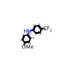 COc1ccc(Nc2ccc(C(F)(F)F)cc2)cc1